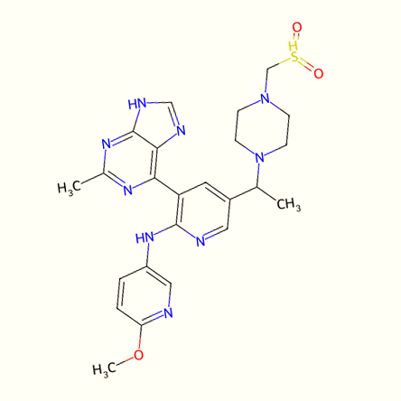 COc1ccc(Nc2ncc(C(C)N3CCN(C[SH](=O)=O)CC3)cc2-c2nc(C)nc3[nH]cnc23)cn1